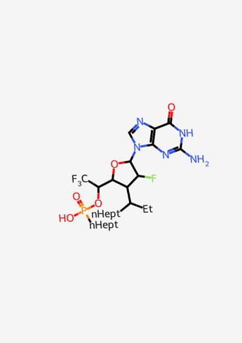 CCCCCCCC(CC)C1C(F)C(n2cnc3c(=O)[nH]c(N)nc32)OC1C(OP(=O)(O)CCCCCCC)C(F)(F)F